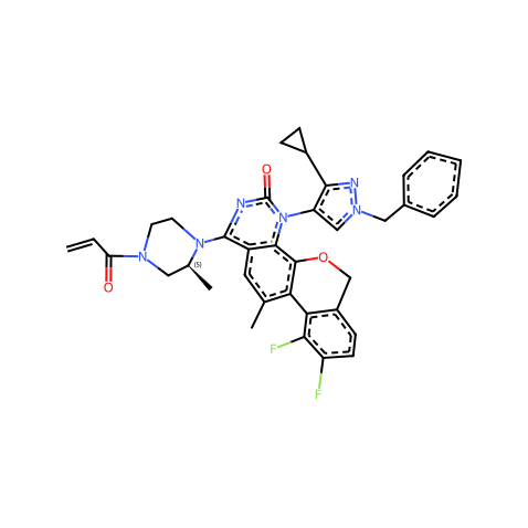 C=CC(=O)N1CCN(c2nc(=O)n(-c3cn(Cc4ccccc4)nc3C3CC3)c3c4c(c(C)cc23)-c2c(ccc(F)c2F)CO4)[C@@H](C)C1